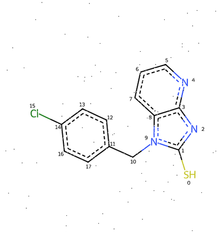 Sc1nc2ncccc2n1Cc1ccc(Cl)cc1